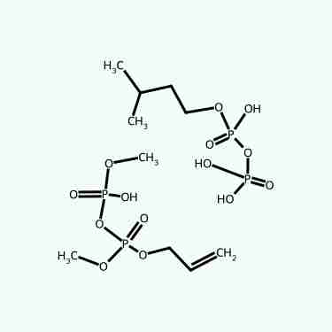 C=CCOP(=O)(OC)OP(=O)(O)OC.CC(C)CCOP(=O)(O)OP(=O)(O)O